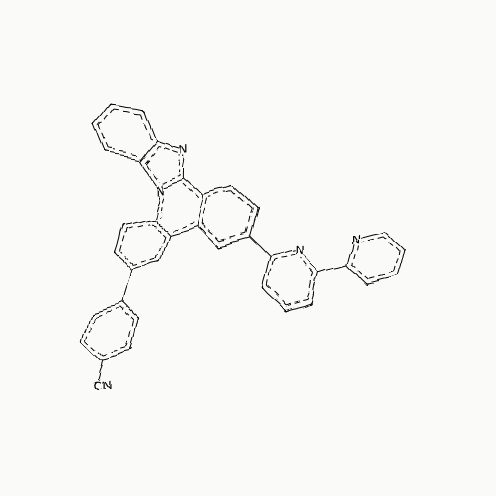 N#Cc1ccc(-c2ccc3c(c2)c2cc(-c4cccc(-c5ccccn5)n4)ccc2c2nc4ccccc4n32)cc1